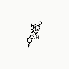 O=c1ccc(S(=O)(=O)c2cc3ccc(F)cc3[nH]2)n[nH]1